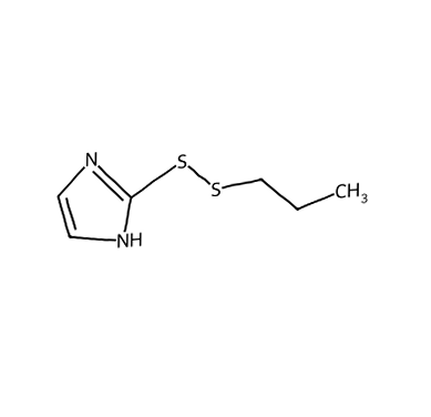 CCCSSc1ncc[nH]1